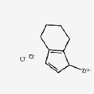 [Cl-].[Cl-].[Zr+2][CH]1C=CC2=C1CCCC2